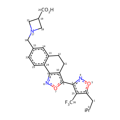 CC(C)Cc1onc(-c2onc3c2CCc2cc(CN4CC(C(=O)O)C4)ccc2-3)c1C(F)(F)F